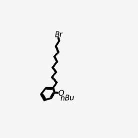 CCCCOc1ccccc1CCCCCCCCCBr